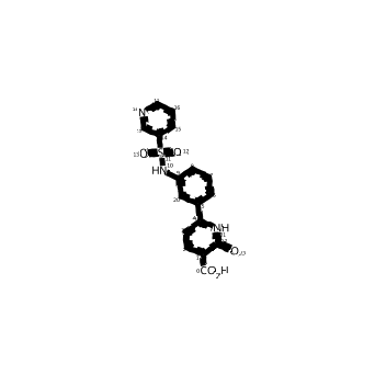 O=C(O)c1ccc(-c2cccc(NS(=O)(=O)c3cccnc3)c2)[nH]c1=O